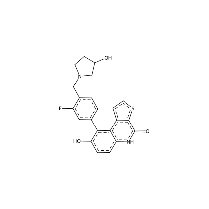 O=c1[nH]c2ccc(O)c(-c3ccc(CN4CCC(O)C4)c(F)c3)c2c2ccsc12